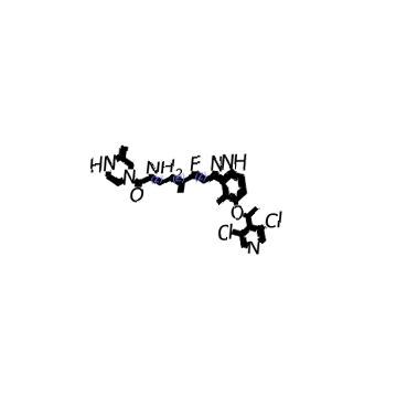 C=C1CN(C(=O)/C(N)=C/C=C(C)/C(F)=C/c2n[nH]c3ccc(OC(C)c4c(Cl)cncc4Cl)c(C)c23)CCN1